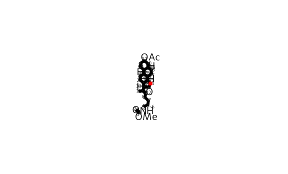 COC(=O)NC[C@@H](C)CCC1=C(C)[C@H]2C(C[C@H]3[C@@H]4CC[C@H]5C[C@@H](OC(C)=O)CC[C@]5(C)[C@H]4CC[C@]23C)O1